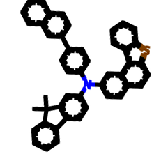 CC1(C)c2ccccc2-c2ccc(N(c3ccc(-c4ccc5ccccc5c4)cc3)c3ccc4ccc5sc6ccccc6c5c4c3)cc21